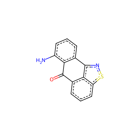 Nc1cccc2c1C(=O)c1cccc3snc-2c13